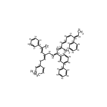 C/C=C\C(=C/N)C/C=C(\C=C(/CC)c1cccnc1)C\N=C(/N=C(N)/C=C/C=C\C(=C/C)c1ccccc1)c1cccc(-c2ccccc2)c1